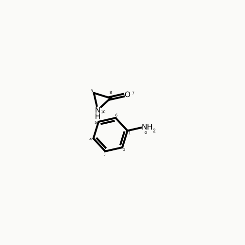 Nc1ccccc1.O=C1CN1